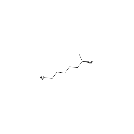 CCC[C@H](C)CCCCCN